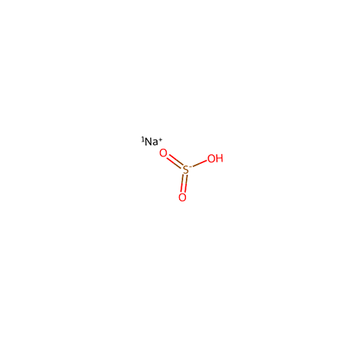 O=[S-](=O)O.[1Na+]